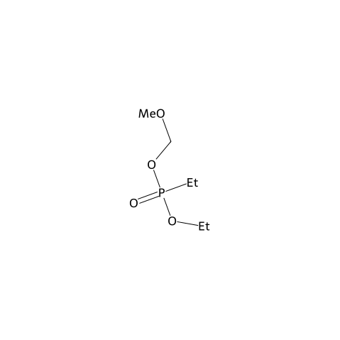 CCOP(=O)(CC)OCOC